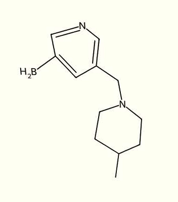 Bc1cncc(CN2CCC(C)CC2)c1